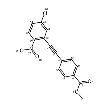 COC(=O)c1ccc(C#Cc2cc(Cl)ccc2[N+](=O)[O-])cc1